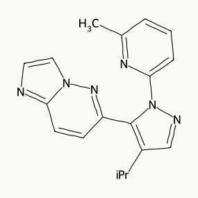 Cc1cccc(-n2ncc(C(C)C)c2-c2ccc3nccn3n2)n1